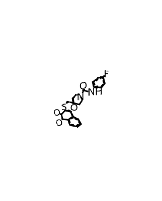 O=C1C(=O)c2ccccc2C2=C1SCC1(CCN(C(=O)Nc3ccc(F)cc3)CC1)O2